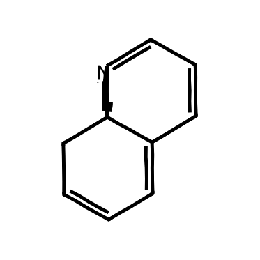 C1=CCC23C=CN=CC2=CC=CC3=C1